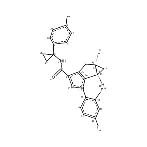 Cc1ccc(C2(NC(=O)c3nn(-c4ccc(F)cc4F)c4c3C[C@H]3C[C@@H]43)CC2)cc1